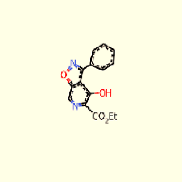 CCOC(=O)c1ncc2onc(-c3ccccc3)c2c1O